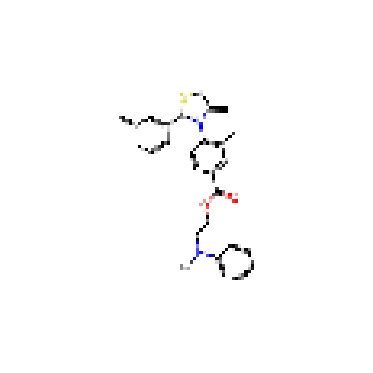 C=C/C=C(\C=C/C)C1SCC(=C)N1c1ccc(C(=O)OCCN(CC)c2ccccc2)cc1C